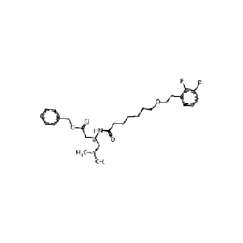 CN(C)C[C@@H](CC(=O)OCc1ccccc1)NC(=O)CCCCCCOCCc1cccc(F)c1F